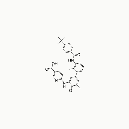 Cc1c(NC(=O)c2ccc(C(C)(C)C)cc2)cccc1-c1cc(Nc2ccc(C(=O)O)cn2)c(=O)n(C)c1